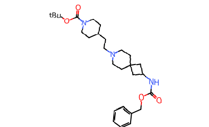 CC(C)(C)OC(=O)N1CCC(CCN2CCC3(CC2)CC(NC(=O)OCc2ccccc2)C3)CC1